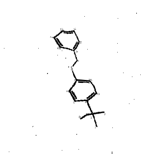 CC(C)(C)c1ccc(SCc2cc[c]cc2)cc1